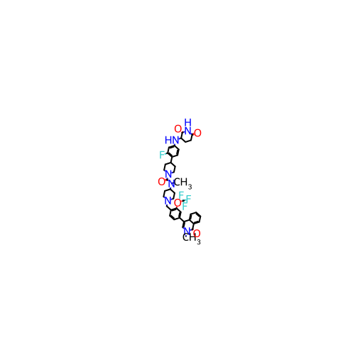 CN(C(=O)N1CCC(c2ccc(NC3CCC(=O)NC3=O)cc2F)CC1)C1CCN(Cc2ccc(-c3cn(C)c(=O)c4ccccc34)cc2OC(F)(F)F)CC1